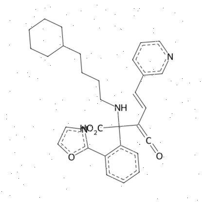 O=C=C(C=Cc1cccnc1)C(NCCCCC1CCCCC1)(C(=O)O)c1ccccc1-c1ncco1